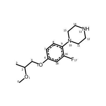 COC(C)COc1ccc(N2CCNCC2)c(F)c1